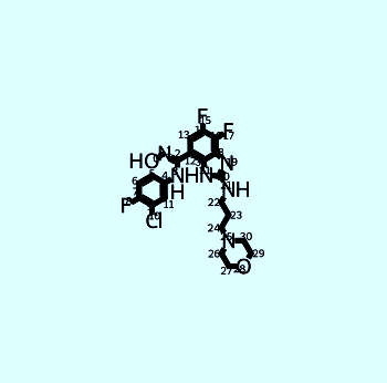 O/N=C(\Nc1ccc(F)c(Cl)c1)c1cc(F)c(F)c2nc(NCCCN3CCOCC3)[nH]c12